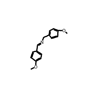 COc1ccc(C=NCc2ccc(OC)cc2)cc1